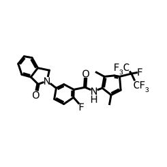 Cc1cc(C(F)(C(F)(F)F)C(F)(F)F)cc(C)c1NC(=O)c1cc(N2Cc3ccccc3C2=O)ccc1F